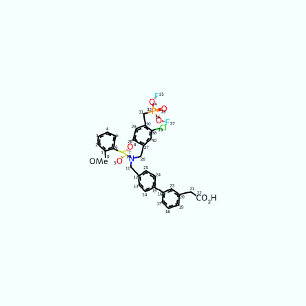 COc1ccccc1S(=O)(=O)N(Cc1ccc(-c2cccc(CC(=O)O)c2)cc1)Cc1ccc(CP(=O)(OF)OF)c(Cl)c1